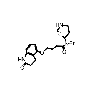 CCN(C(=O)CCCOc1cccc2c1CCC(=O)N2)C1CCNCC1